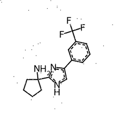 NC1(c2nc(-c3cccc(C(F)(F)F)c3)c[nH]2)CCCC1